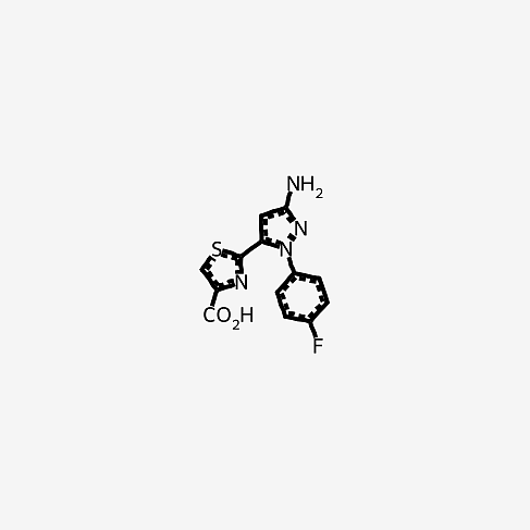 Nc1cc(-c2nc(C(=O)O)cs2)n(-c2ccc(F)cc2)n1